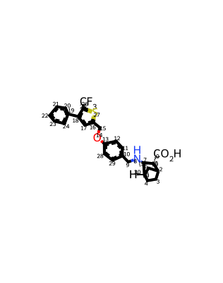 O=C(O)[C@@H]1C2CC[C@@H](C2)[C@@H]1NCc1ccc(OCc2cc(-c3ccccc3)c(C(F)(F)F)s2)cc1